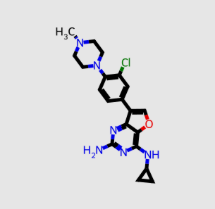 CN1CCN(c2ccc(-c3coc4c(NC5CC5)nc(N)nc34)cc2Cl)CC1